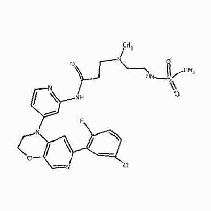 CN(CCNS(C)(=O)=O)CCC(=O)Nc1cc(N2CCOc3cnc(-c4cc(Cl)ccc4F)cc32)ccn1